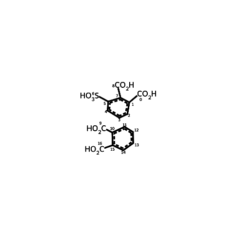 O=C(O)c1cccc(S(=O)(=O)O)c1C(=O)O.O=C(O)c1ccccc1C(=O)O